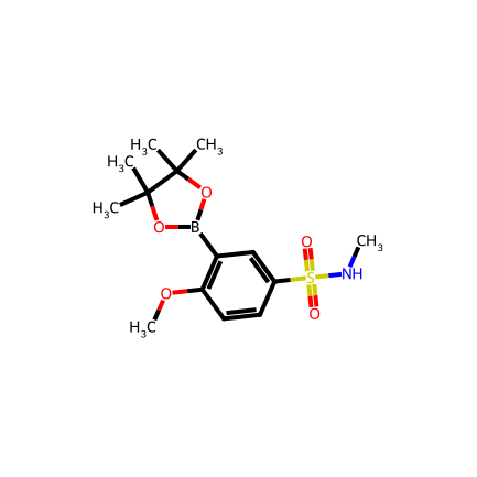 CNS(=O)(=O)c1ccc(OC)c(B2OC(C)(C)C(C)(C)O2)c1